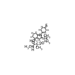 CNC(=O)[C@]1(C)C[C@@]2(C1)OCC(C)(C)c1c2c2c(O)cccc2n1-c1ccc(F)cc1